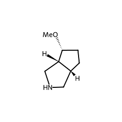 CO[C@@H]1CC[C@@H]2CNC[C@@H]21